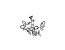 CN(C/C=C/C(=O)N1CCC[C@@H](N(C)c2cnc(C(N)=O)c(Nc3ccc(C(=O)N4CCOCC4)cc3)n2)C1)C1CC1